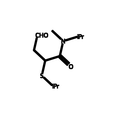 CC(C)SC(CC=O)C(=O)N(C)C(C)C